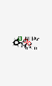 CCCCCC(CCc1ccccc1Cl)C(=O)ONC(C)=O